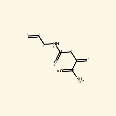 C=CCNC(=O)CC(=C)C(N)=O